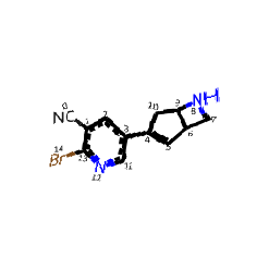 N#Cc1cc(C2=CC3CNC3C2)cnc1Br